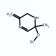 C=C1CNC(C)(OCC)C=N1